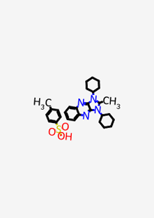 CC1N(C2CCCCC2)c2nc3ccccc3nc2N1C1CCCCC1.Cc1ccc(S(=O)(=O)O)cc1